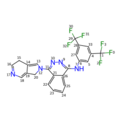 FC(F)(F)c1cc(Nc2nnc(N3C=C4CC=NC=C4C3)c3ccccc23)cc(C(F)(F)F)c1